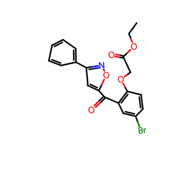 CCOC(=O)COc1ccc(Br)cc1C(=O)c1cc(-c2ccccc2)no1